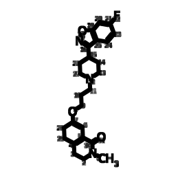 CN1CCC2=C(C=C(OCCCN3CCC(c4noc5cc(F)ccc45)CC3)CC2)C1=O